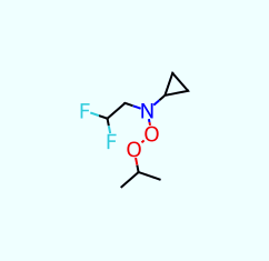 CC(C)OON(CC(F)F)C1CC1